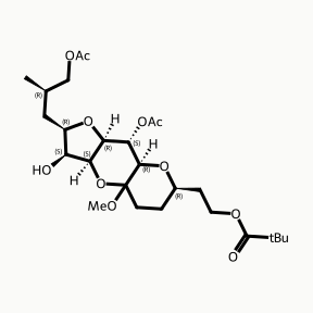 COC12CC[C@H](CCOC(=O)C(C)(C)C)O[C@@H]1[C@@H](OC(C)=O)[C@@H]1O[C@H](C[C@@H](C)COC(C)=O)[C@H](O)[C@@H]1O2